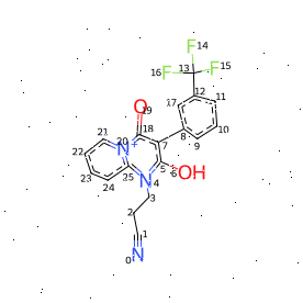 N#CCCn1c(O)c(-c2cccc(C(F)(F)F)c2)c(=O)[n+]2ccccc12